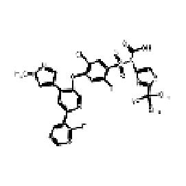 Cn1cc(-c2cc(-c3cccnc3F)ncc2Oc2cc(F)c(S(=O)(=O)N(C(=O)O)c3csc(C(C)(C)C)n3)cc2Cl)cn1